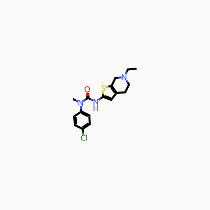 CCN1CCc2cc(NC(=O)N(C)c3ccc(Cl)cc3)sc2C1